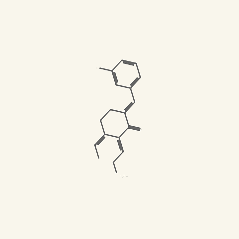 C/C=C1/CC/C(=C\c2cccc(Br)c2)C(=O)/C1=C/COC